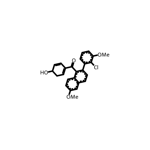 COc1ccc2c(C(=O)C3=CCC(O)C=C3)c(-c3cccc(OC)c3Cl)ccc2c1